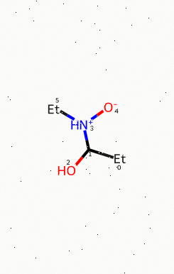 CCC(O)[NH+]([O-])CC